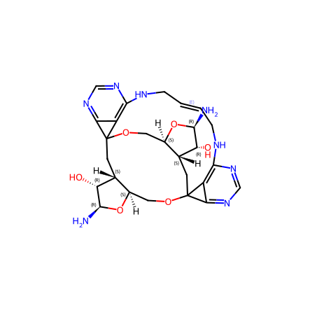 N[C@@H]1O[C@@H]2COC34C[C@H]5[C@@H](O)[C@H](N)O[C@@H]5COC5(C[C@H]2[C@H]1O)c1ncnc(c15)NC/C=C/CNc1ncnc3c14